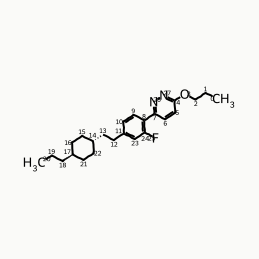 CCCOc1ccc(-c2ccc(CC[C@H]3CC[C@H](CCC)CC3)cc2F)nn1